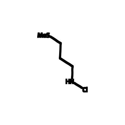 CSCCCNCl